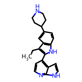 CCc1c(-c2ccnc3[nH]ccc23)[nH]c2ccc(C3CCNCC3)cc12